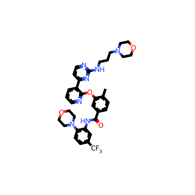 Cc1ccc(C(=O)Nc2cc(C(F)(F)F)ccc2N2CCOCC2)cc1Oc1ncccc1-c1ccnc(NCCCN2CCOCC2)n1